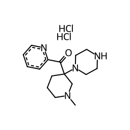 CN1CCCC(C(=O)c2ccccn2)(N2CCNCC2)C1.Cl.Cl